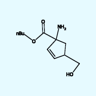 CCCCOC(=O)C1(N)C=CC(CO)C1